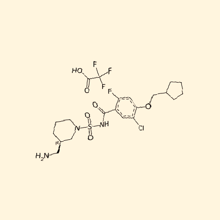 NC[C@H]1CCCN(S(=O)(=O)NC(=O)c2cc(Cl)c(OCC3CCCC3)cc2F)C1.O=C(O)C(F)(F)F